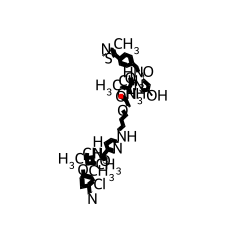 Cc1ncsc1-c1ccc(CNC(=O)[C@@H]2C[C@@H](O)CN2C(=O)C(NC(=O)COCCCCNc2ccc(C(=O)N[C@H]3C(C)(C)[C@H](Oc4ccc(C#N)c(Cl)c4)C3(C)C)cn2)C(C)(C)C)cc1